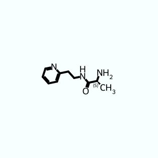 C[C@H](N)C(=O)NCCc1ccccn1